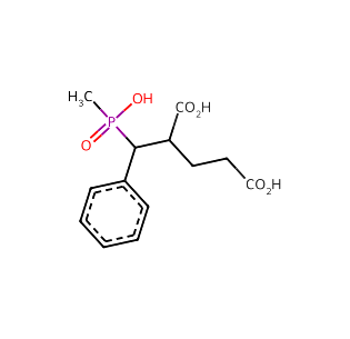 CP(=O)(O)C(c1ccccc1)C(CCC(=O)O)C(=O)O